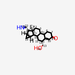 CC[C@]12CCC3C4CCC(=O)C=C4[C@H](CO)CC3C1[C@@H]1C[C@@H]1[C@@H]2C=N